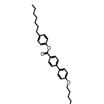 CCCCCCCc1ccc(OC(=O)c2ccc(-c3ccc(OCCCCC)cc3)cc2)cc1